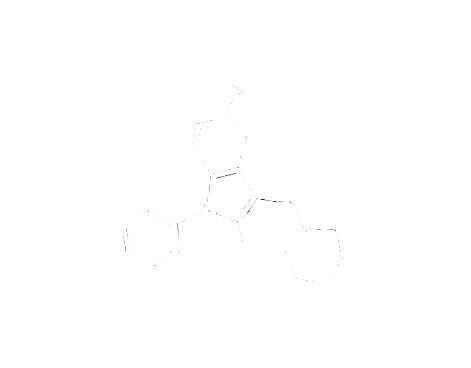 Cc1c(CN2CCSCC2)c2cc(Br)c(Cl)cc2n1-c1ccccc1